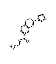 CCOC(=O)c1ccc2c(c1)C=C(n1ccnc1)CC2